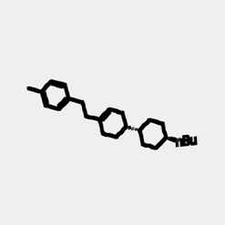 CCCC[C@H]1CC[C@H](C2CC=C(CCc3ccc(C)cc3)CC2)CC1